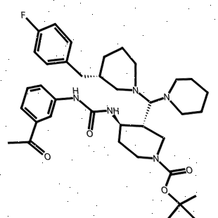 CC(=O)c1cccc(NC(=O)N[C@@H]2CCN(C(=O)OC(C)(C)C)C[C@H]2C(N2CCCCC2)N2CCC[C@@H](Cc3ccc(F)cc3)C2)c1